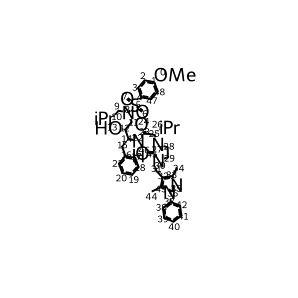 COc1ccc(S(=O)(=O)N(CC(C)C)C[C@@H](O)[C@H](Cc2ccccc2)NC(=O)[C@H](C(C)C)N2CCN(Cc3c(C)nn(-c4ccccc4)c3C)C2=O)cc1